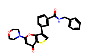 O=C(NCc1ccccc1)c1cccc(-c2csc3c(=O)cc(N4CCOCC4)oc23)c1